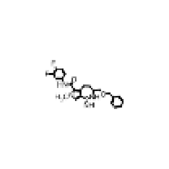 Cn1cc2c(c1C(=O)Nc1ccc(F)c(F)c1)CCC(COCc1ccccc1)NS2=N